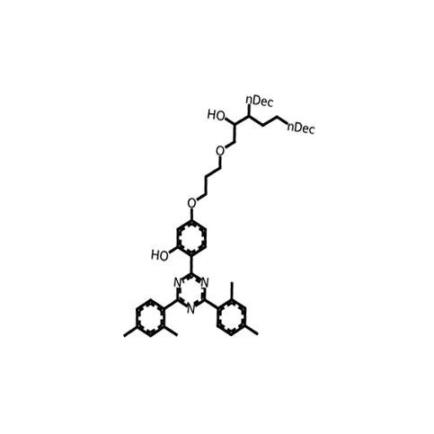 CCCCCCCCCCCCC(CCCCCCCCCC)C(O)COCCCOc1ccc(-c2nc(-c3ccc(C)cc3C)nc(-c3ccc(C)cc3C)n2)c(O)c1